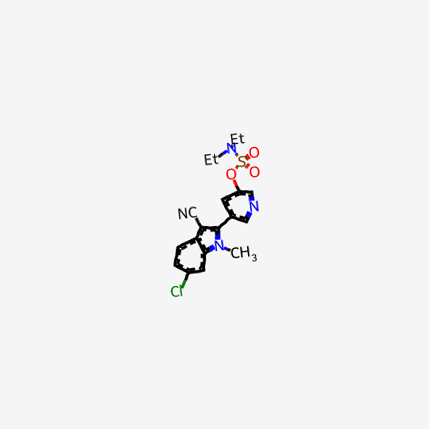 CCN(CC)S(=O)(=O)Oc1cncc(-c2c(C#N)c3ccc(Cl)cc3n2C)c1